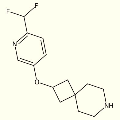 FC(F)c1ccc(OC2CC3(CCNCC3)C2)cn1